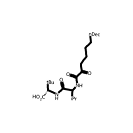 CCCCCCCCCCCCCCC(=O)C(=O)NC(C(=O)N[C@H](C(=O)O)C(C)(C)C)C(C)C